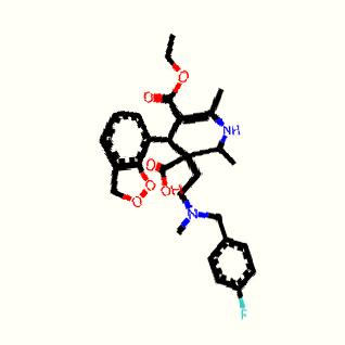 CCOC(=O)C1=C(C)NC(C)C(CCN(C)Cc2ccc(F)cc2)(C(=O)O)C1c1cccc2c1OOC2